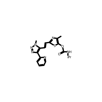 Cc1nc(/C=C/c2c(-c3ccccn3)nnn2C)sc1OC(=O)NC(C)C